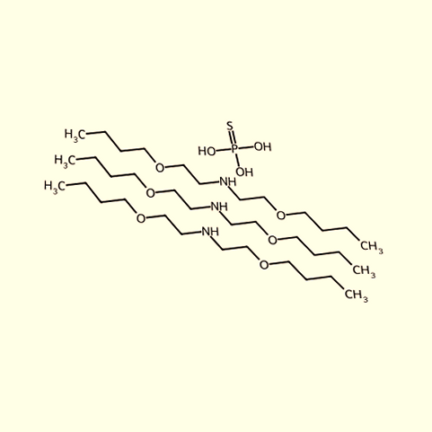 CCCCOCCNCCOCCCC.CCCCOCCNCCOCCCC.CCCCOCCNCCOCCCC.OP(O)(O)=S